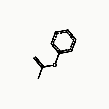 [CH]=C(C)Oc1ccccc1